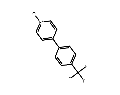 [O-][n+]1ccc(-c2ccc(C(F)(F)F)cc2)cc1